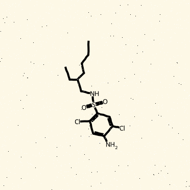 CCCCC(CC)CNS(=O)(=O)c1cc(Cl)c(N)cc1Cl